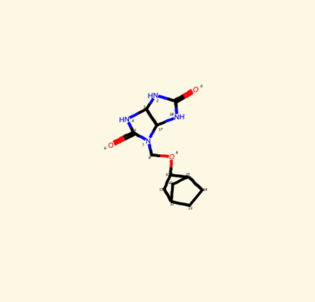 O=C1NC2NC(=O)N(COC3CC4CCC3C4)C2N1